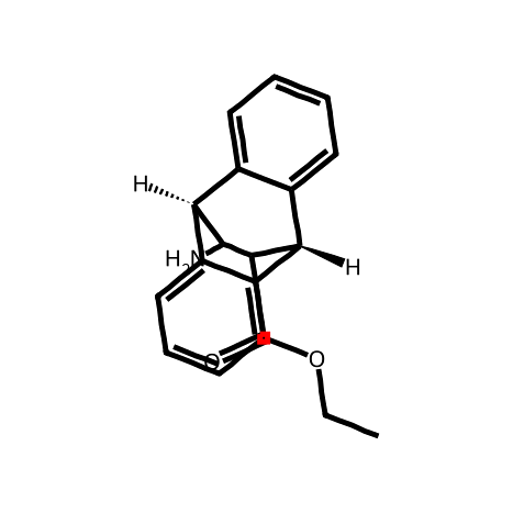 CCOC(=O)C1C(N)[C@H]2c3ccccc3[C@H]1c1ccccc12